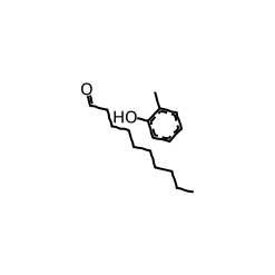 CCCCCCCCCC=O.Cc1ccccc1O